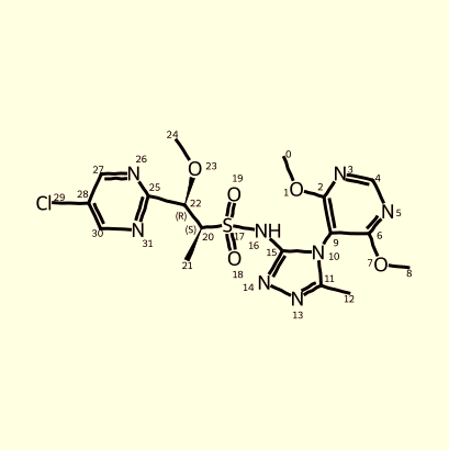 COc1ncnc(OC)c1-n1c(C)nnc1NS(=O)(=O)[C@@H](C)[C@H](OC)c1ncc(Cl)cn1